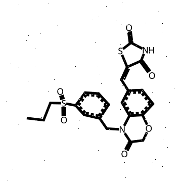 CCCS(=O)(=O)c1cccc(CN2C(=O)COc3ccc(C=C4SC(=O)NC4=O)cc32)c1